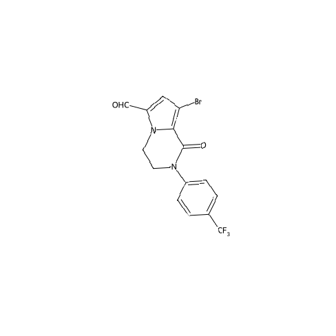 O=Cc1cc(Br)c2n1CCN(c1ccc(C(F)(F)F)cc1)C2=O